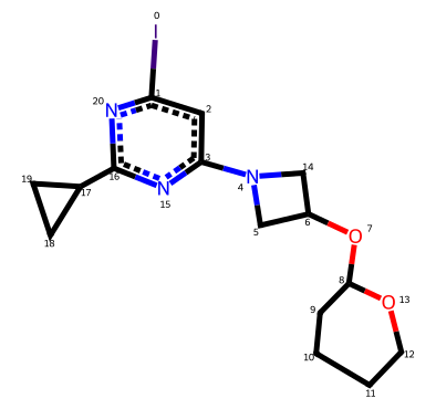 Ic1cc(N2CC(OC3CCCCO3)C2)nc(C2CC2)n1